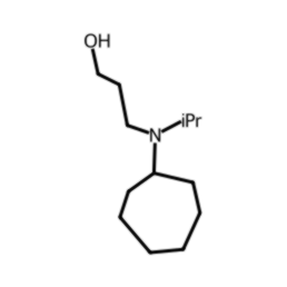 CC(C)N(CCCO)C1CCCCCC1